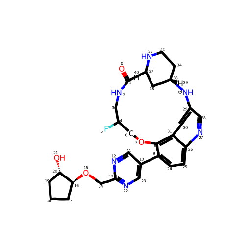 O=C1NCC(F)COc2c(-c3cnc(CO[C@H]4CCC[C@@H]4O)nc3)ccc3ncc(cc23)N[C@H]2CCN[C@H]1C2